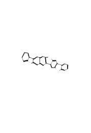 c1ccc2c(c1)sc1cc3cc4c(cc3cc12)sc1cc2c(cc14)sc1ccccc12